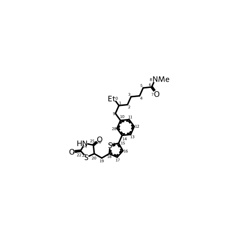 CCC(CCCCC(=O)NC)Cc1cccc(-c2ccc(CC3SC(=O)NC3=O)s2)c1